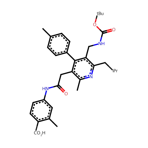 Cc1ccc(-c2c(CC(=O)Nc3ccc(C(=O)O)c(C)c3)c(C)nc(CC(C)C)c2CNC(=O)OC(C)(C)C)cc1